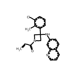 C=CC(=O)N1CC(Nc2ccc3cccnc3c2)(c2cccc(Cl)c2C)C1